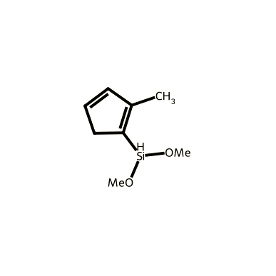 CO[SiH](OC)C1=C(C)C=CC1